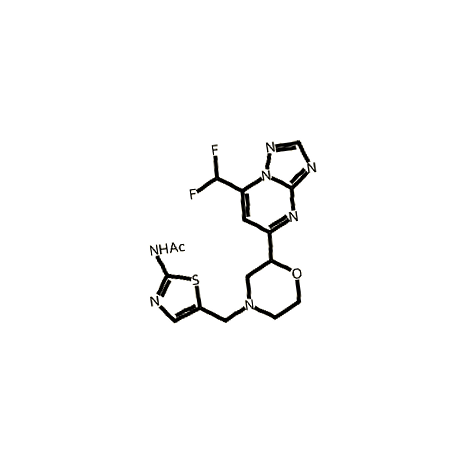 CC(=O)Nc1ncc(CN2CCOC(c3cc(C(F)F)n4ncnc4n3)C2)s1